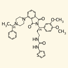 COc1ccc([C@@H](CCNC(=O)Nc2cccs2)N2C(=O)c3cccc(N4CCN([C@H](C)c5ccccc5)CC4)c3C2=O)cc1OC